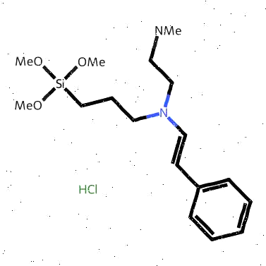 CNCCN(C=Cc1ccccc1)CCC[Si](OC)(OC)OC.Cl